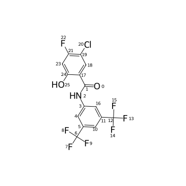 O=C(Nc1cc(C(F)(F)F)cc(C(F)(F)F)c1)c1cc(Cl)c(F)cc1O